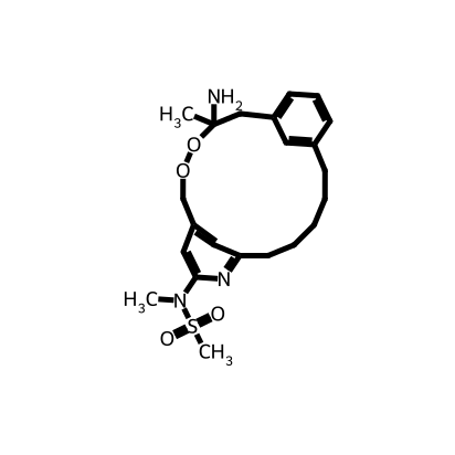 CN(c1cc2cc(n1)CCCCCc1cccc(c1)CC(C)(N)OOC2)S(C)(=O)=O